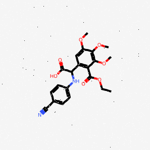 CCOC(=O)c1c(C(Nc2ccc(C#N)cc2)C(=O)O)cc(OC)c(OC)c1OC